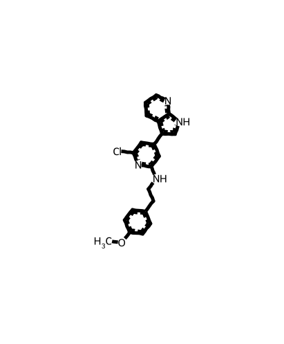 COc1ccc(CCNc2cc(-c3c[nH]c4ncccc34)cc(Cl)n2)cc1